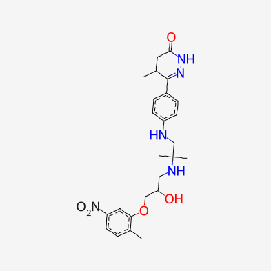 Cc1ccc([N+](=O)[O-])cc1OCC(O)CNC(C)(C)CNc1ccc(C2=NNC(=O)CC2C)cc1